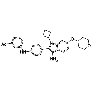 CC(=O)c1cccc(Nc2ccc(-c3c(N)c4ccc(OC5CCOCC5)cc4n3C3CCC3)cc2)c1